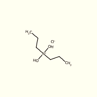 CCC[N+](O)(O)CCC.[Cl-]